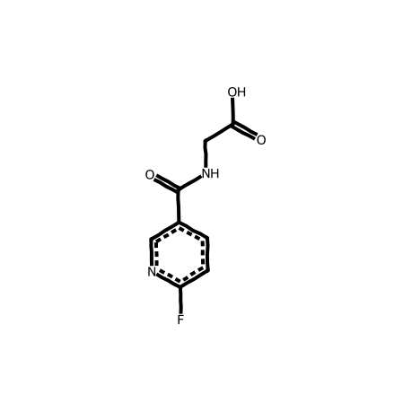 O=C(O)CNC(=O)c1ccc(F)nc1